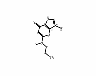 CN(CCN)c1cc(=S)c2occ(Br)c2o1